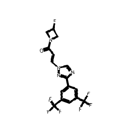 O=C(C=Cn1cnc(-c2cc(C(F)(F)F)cc(C(F)(F)F)c2)n1)N1CC(F)C1